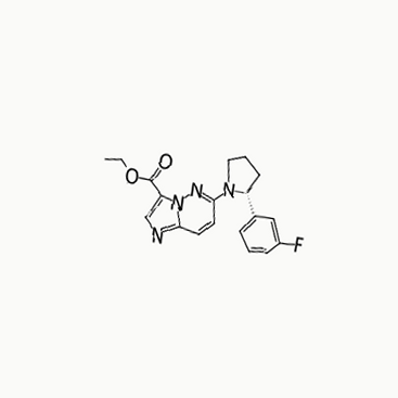 CCOC(=O)c1cnc2ccc(N3CCC[C@@H]3c3cccc(F)c3)nn12